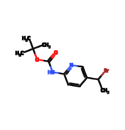 CC(Br)c1ccc(NC(=O)OC(C)(C)C)nc1